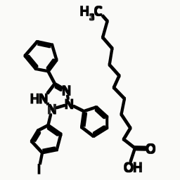 CCCCCCCCCCCC(=O)O.Ic1ccc(N2NC(c3ccccc3)=NN2c2ccccc2)cc1